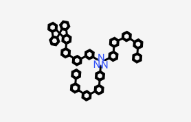 c1ccc(-c2cccc(-c3cccc(-c4cccc(-c5ccc(-c6nc(-c7cccc(-c8cccc(-c9cccc(-c%10cccc(-c%11ccccc%11)c%10)c9)c8)c7)nc(-c7cccc(-c8cccc(-c9cccc(-c%10ccc%11c(c%10)C%10(c%12ccccc%12-c%12ccccc%12%10)c%10ccccc%10-%11)c9)c8)c7)n6)cc5)c4)c3)c2)cc1